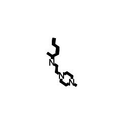 C=C/C=C\C(C)=N/CCN1CCN(C)CC1